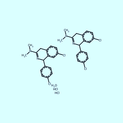 CN(C)C1=NC(c2ccc(Cl)cc2)c2cc(Cl)ccc2C1.CN(C)C1=NC(c2ccc(Cl)cc2)c2cc(Cl)ccc2C1.Cl.Cl.O